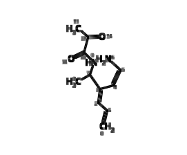 C=C/C=C(\C=C/N)C(C)NC(=O)C(C)=O